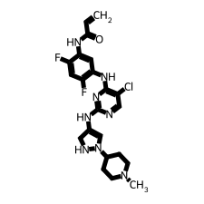 C=CC(=O)Nc1cc(Nc2nc(NC3=CN(C4CCN(C)CC4)NC3)ncc2Cl)c(F)cc1F